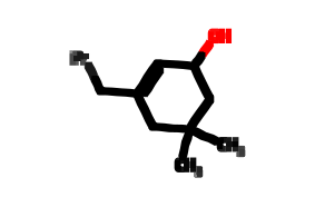 CC(C)CC1=CC(O)CC(C)(C)C1